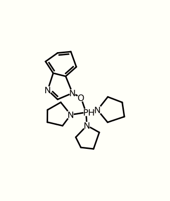 c1ccc2c(c1)ncn2O[PH](N1CCCC1)(N1CCCC1)N1CCCC1